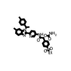 CCS(=O)(=O)c1ccc(C(OC(N)=O)C(=O)Nc2ccc(-c3nc4ccc(C)cc4n3C(C)c3ccc(C)cc3)nc2)cc1